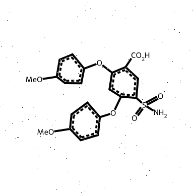 COc1ccc(Oc2cc(Oc3ccc(OC)cc3)c(S(N)(=O)=O)cc2C(=O)O)cc1